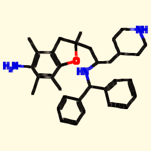 Cc1c(C)c2c(c(C)c1N)CC(C)(CC(CC1CCNCC1)NC(c1ccccc1)c1ccccc1)O2